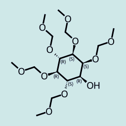 COCO[C@@H]1[C@@H](OCOC)[C@@H](OCOC)[C@@H](O)[C@H](OCOC)[C@H]1OCOC